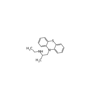 CCNC(C)CN1c2ccccc2Sc2ccccc21